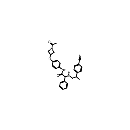 CC(=O)N1CC(Oc2ccc(NC(=O)C(NCC(C)c3ccc(C#N)cc3)c3ccccc3)nc2)C1